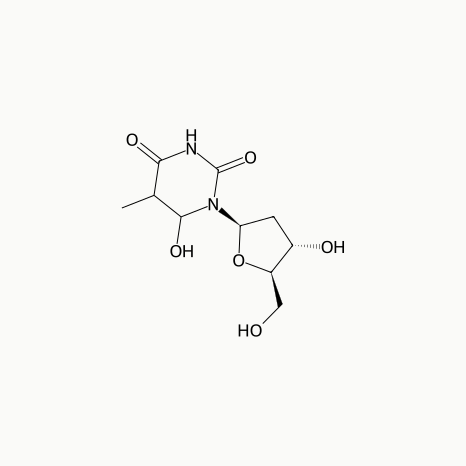 CC1C(=O)NC(=O)N([C@H]2C[C@H](O)[C@@H](CO)O2)C1O